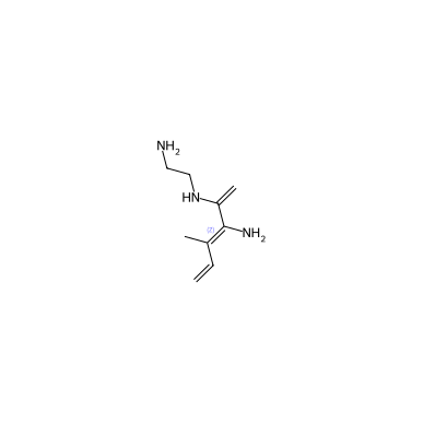 C=C/C(C)=C(\N)C(=C)NCCN